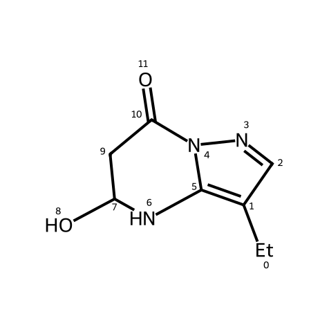 CCc1cnn2c1NC(O)CC2=O